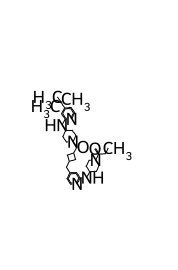 CCC(=O)N1CCC(Nc2cc(CC3CC(C(=O)N4CCC(Nc5cc(C(C)(C)C)ccn5)CC4)C3)ccn2)CC1